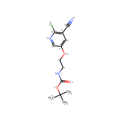 CC(C)(C)OC(=O)NCCOc1cnc(Cl)c(C#N)c1